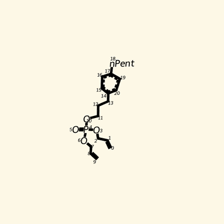 C=CCOP(=O)(OCC=C)OCCCc1ccc(CCCCC)cc1